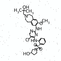 COc1cc2c(cc1Nc1ncc(Cl)c(Nc3ccccc3S(=O)(=O)N3CCC(O)C3)n1)CCN(CC(C)(C)O)CC2